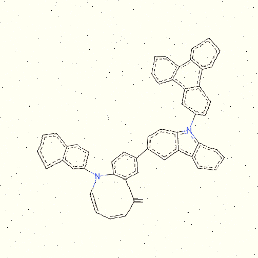 C=C1/C=C\C=C/N(c2ccc3ccccc3c2)c2ccc(-c3ccc4c(c3)c3ccccc3n4-c3ccc4c5ccccc5c5ccccc5c4c3)cc21